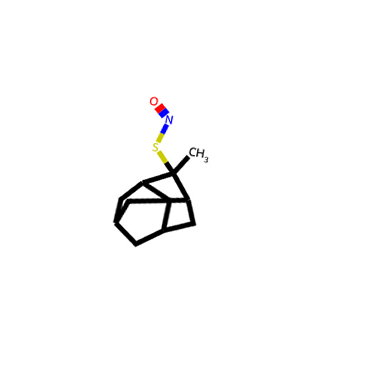 CC1(SN=O)C2CC3CC(C2)CC1C3